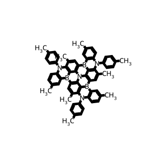 Cc1ccc(N2c3ccc(C)cc3B3c4cc(C)c5c6c4N4c7c(cc(C)c2c73)B2c3cc(C)ccc3N(c3ccc(C)cc3)c3c(C)cc(c4c32)B6c2cc(C)ccc2N5c2ccc(C)cc2)cc1